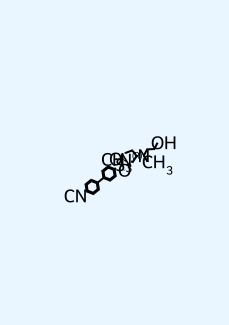 [C-]#[N+]c1ccc(-c2ccc(S(=O)(=O)N3CC[C@@H](N(C)CCO)C3)c(C)c2)cc1